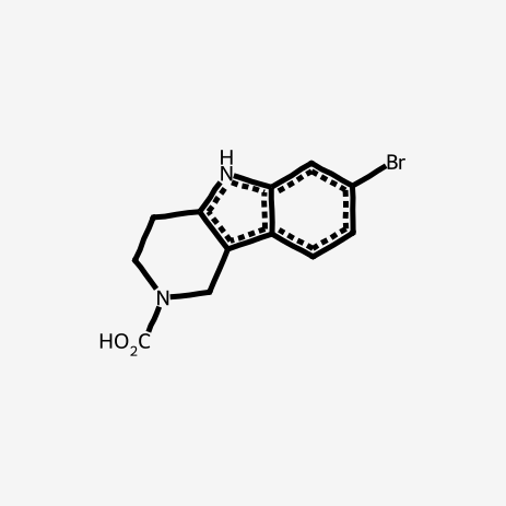 O=C(O)N1CCc2[nH]c3cc(Br)ccc3c2C1